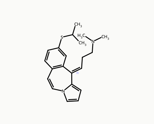 CC(C)Sc1ccc2c(c1)/C(=C\CCN(C)C)c1cccn1C=C2